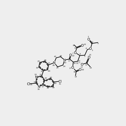 CC(=O)OCCC(OC(C)=O)[C@H](OC(C)=O)C(OC(C)=O)C(=O)N1CCN(c2cccc(-c3nc(Cl)nc4ccc(Cl)cc34)c2)CC1